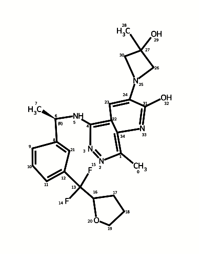 Cc1nnc(N[C@H](C)c2cccc(C(F)(F)C3CCCO3)c2)c2cc(N3CC(C)(O)C3)c(O)nc12